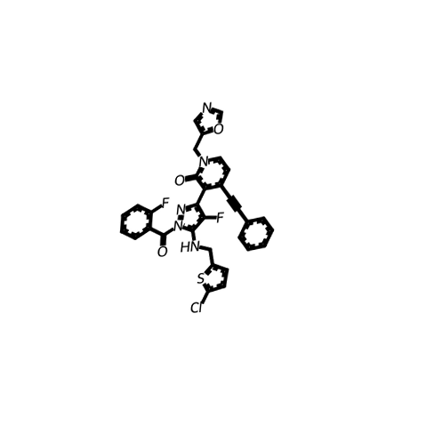 O=C(c1ccccc1F)n1nc(-c2c(C#Cc3ccccc3)ccn(Cc3cnco3)c2=O)c(F)c1NCc1ccc(Cl)s1